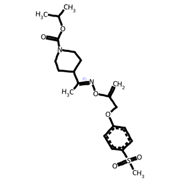 C=C(COc1ccc(S(C)(=O)=O)cc1)O/N=C(\C)C1CCN(C(=O)OC(C)C)CC1